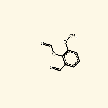 COc1cccc(C=O)c1OC=O